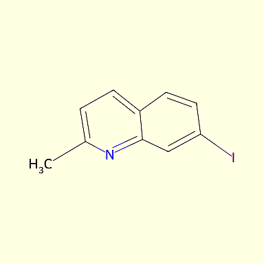 Cc1ccc2ccc(I)cc2n1